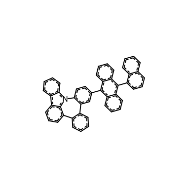 c1ccc2c(c1)-c1cc(-c3c4ccccc4c(-c4cccc5ccccc45)c4ccccc34)ccc1-n1c3ccccc3c3cccc-2c31